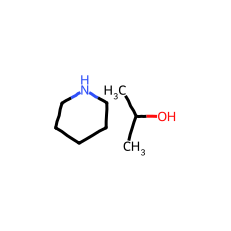 C1CCNCC1.CC(C)O